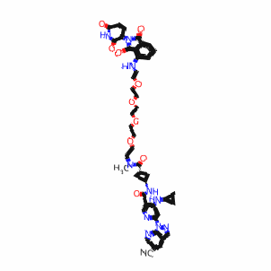 CN(CCOCCOCCOCCOCCNc1cccc2c1C(=O)N(C1CCC(=O)NC1=O)C2=O)C(=O)[C@H]1C[C@H](NC(=O)c2cnc(-n3ncc4cc(C#N)cnc43)cc2NC2CC2)C1